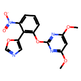 COc1cc(OC)nc(Oc2cccc([N+](=O)[O-])c2-c2cnco2)n1